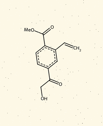 C=Cc1cc(C(=O)CO)ccc1C(=O)OC